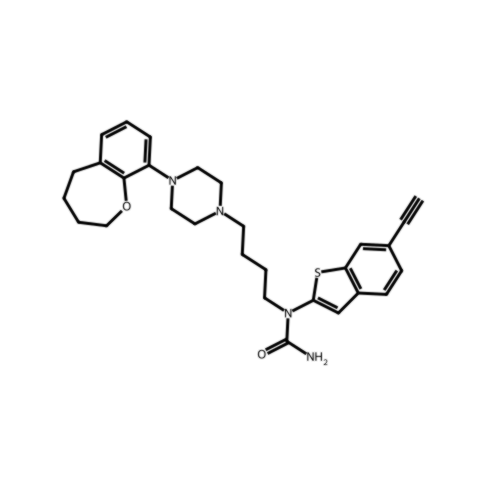 C#Cc1ccc2cc(N(CCCCN3CCN(c4cccc5c4OCCCC5)CC3)C(N)=O)sc2c1